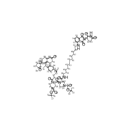 CN(CCCC(=O)N1CCN(C(=O)OC(C)(C)C)CC1C(=O)N1CCN(C(=O)OC(C)(C)C)CC1C(=O)NCCCCCCCCCCCCCNc1cccc2c1C(=O)N(C1CCC(=O)NC1=O)C2=O)c1ccc([C@H]2C[C@]34O[C@@]3(C)CCC4[C@@H]3CCC4=CC(=O)CCC4=C32)cc1